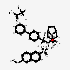 CC(C)Oc1ccc2cc(S(=O)(=O)N[C@H](C(=O)N3C4CCC3CC(N)C4)C(F)(F)c3ccc(-c4ccccc4)cc3)ccc2c1.O=C(O)C(F)(F)F